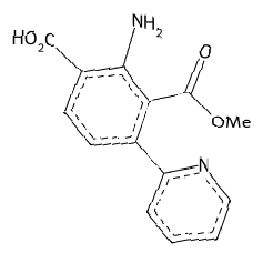 COC(=O)c1c(-c2ccccn2)ccc(C(=O)O)c1N